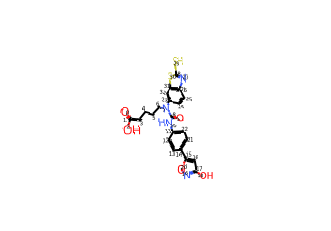 O=C(O)CCCCN(C(=O)Nc1ccc(-c2cc(O)no2)cc1)c1ccc2nc(S)sc2c1